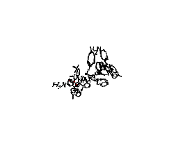 CC(C)ON(CC(OC(=O)N([C@H]1CCOC1)[C@@H](Cc1ccccc1)[C@@H](O)CN(OC(C)C)S(=O)(=O)c1cccc(N)c1)C(Cc1ccccc1)NC(=O)OC(C)(C)C)S(=O)(=O)c1cccc(N)c1